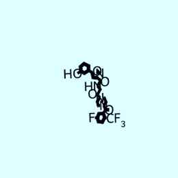 O=C(NCC(=O)N1CCN(C(=O)c2cc(F)ccc2C(F)(F)F)CC1)c1cc(-c2cccc(O)c2)on1